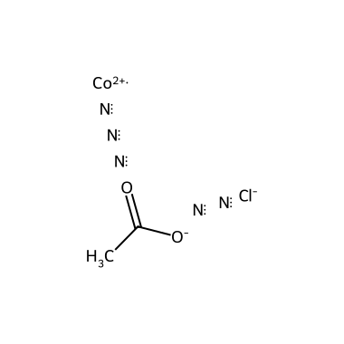 CC(=O)[O-].[Cl-].[Co+2].[N].[N].[N].[N].[N]